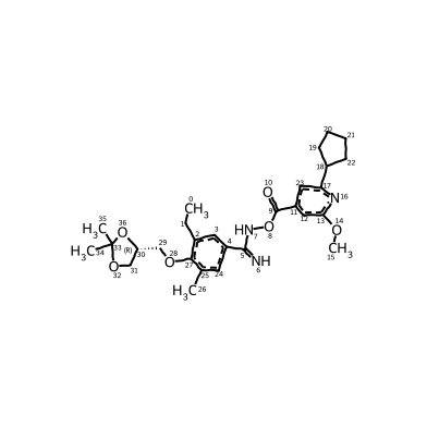 CCc1cc(C(=N)NOC(=O)c2cc(OC)nc(C3CCCC3)c2)cc(C)c1OC[C@@H]1COC(C)(C)O1